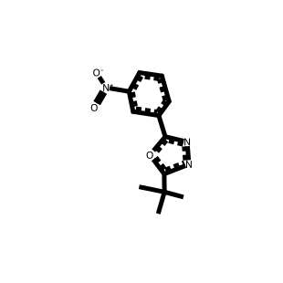 CC(C)(C)c1nnc(-c2cccc([N+](=O)[O-])c2)o1